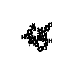 Cc1ncsc1-c1ccc([C@H](C)NC(=O)[C@@H]2C[C@@H](C)CN2C(=O)[C@H](C(C)C)n2cc(-c3cccc(O[C@H]4C[C@H](NC(=O)C[C@@H]5N=C(c6ccc(Cl)cc6)c6c(sc(C)c6C)-n6c(C)nnc65)C4)c3)cn2)cc1